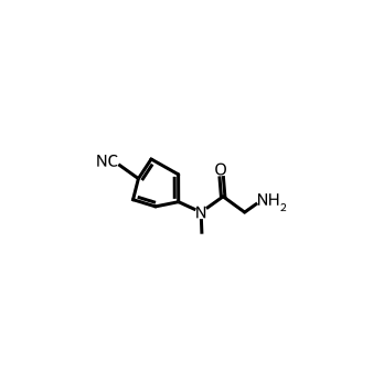 CN(C(=O)CN)c1ccc(C#N)cc1